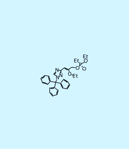 CCOC(=Cc1ncn(C(c2ccccc2)(c2ccccc2)c2ccccc2)n1)COP(=O)(CC)OCC